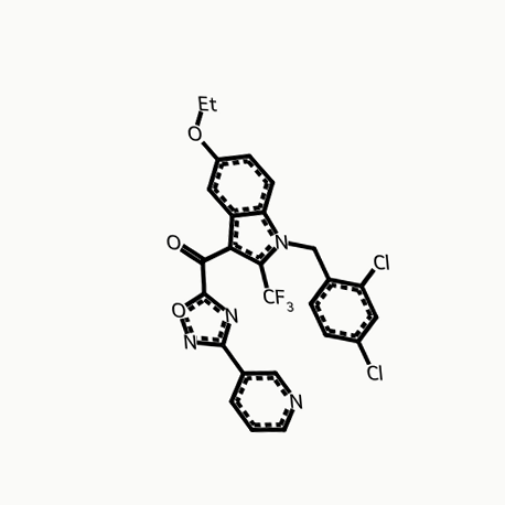 CCOc1ccc2c(c1)c(C(=O)c1nc(-c3cccnc3)no1)c(C(F)(F)F)n2Cc1ccc(Cl)cc1Cl